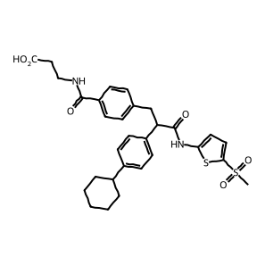 CS(=O)(=O)c1ccc(NC(=O)C(Cc2ccc(C(=O)NCCC(=O)O)cc2)c2ccc(C3CCCCC3)cc2)s1